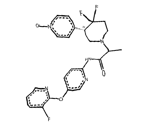 CC(C(=O)Nc1ccc(Oc2ncccc2F)cn1)N1CCC(F)(F)[C@@H](c2cc[n+]([O-])cc2)C1